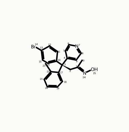 C/C(C[C@](c1ccncc1)(c1ccc(Br)cc1)c1ccccc1C)=N\O